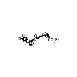 CCOC(=O)Cc1csc(SCCCC(=O)NCC2CN(Cc3ccc(Cl)c(Cl)c3)CCO2)n1